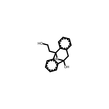 OCCC12NC(O)(Cc3ccccc31)c1ccccc12